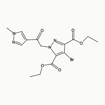 CCOC(=O)c1nn(CC(=O)c2cnn(C)c2)c(C(=O)OCC)c1Br